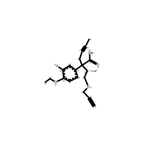 C#CCOC[C@@H](C)C(CC#CC)(C(=O)O)c1ccc(OCC)c(F)c1